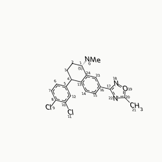 CN[C@H]1CCC(c2ccc(Cl)c(Cl)c2)c2ccc(-c3noc(C)n3)cc21